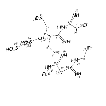 CCCCCCCCCCCCN(CC(C)C)C(=N)NC(=N)NCC.CCNC(=N)NC(=N)NCC(C)C.CS(=O)(=O)O.CS(=O)(=O)O